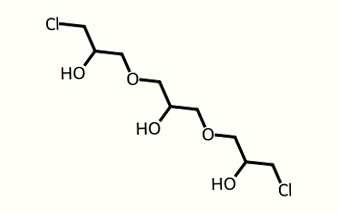 OC(CCl)COCC(O)COCC(O)CCl